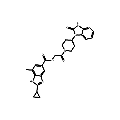 Cc1cc(C(=O)NCC(=O)N2CCC(n3c(=O)[nH]c4ncccc43)CC2)cc2nc(C3CC3)[nH]c12